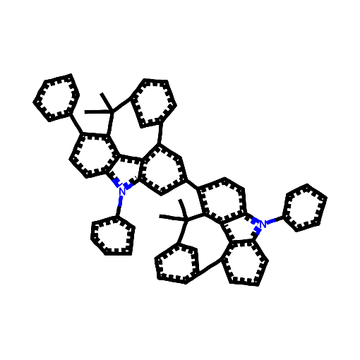 CC1(C)c2cccc(c2)-c2cccc3c2c2c1c(-c1cc4c5c6c(c(-c7ccccc7)ccc6n(-c6ccccc6)c5c1)C(C)(C)c1cccc-4c1)ccc2n3-c1ccccc1